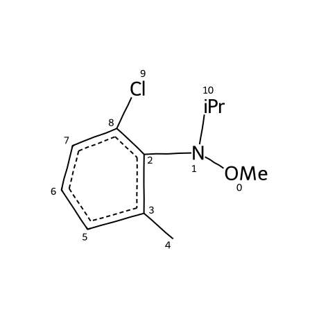 CON(c1c(C)cccc1Cl)C(C)C